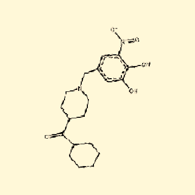 O=C(C1CCCCC1)C1CCN(Cc2cc(O)c(O)c([N+](=O)[O-])c2)CC1